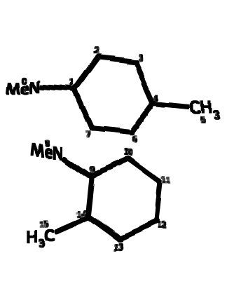 CNC1CCC(C)CC1.CNC1CCCCC1C